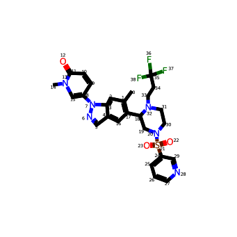 Cc1cc2c(cnn2-c2ccc(=O)n(C)c2)cc1C1CN(S(=O)(=O)c2cccnc2)CCN1CCC(F)(F)F